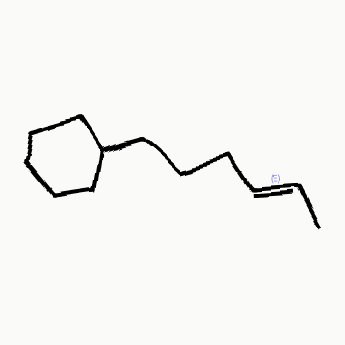 C/C=C/CCCC1CCCCC1